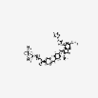 CCCCCNc1nc(N)nc2ccn(Cc3ccc(CN4CCN(C(=O)CONC(=O)OC(C)(C)C)CC4)cc3OC)c12